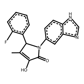 CC1=C(O)C(=O)N(c2ccc3[nH]cnc3c2)C1c1ccccc1F